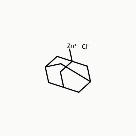 [Cl-].[Zn+][C]12CC3CC(CC(C3)C1)C2